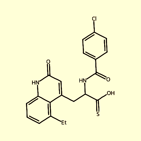 CCc1cccc2[nH]c(=O)cc(CC(NC(=O)c3ccc(Cl)cc3)C(O)=S)c12